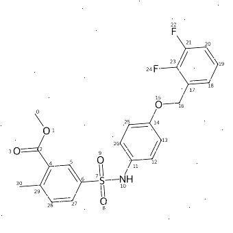 COC(=O)c1cc(S(=O)(=O)Nc2ccc(OCc3cccc(F)c3F)cc2)ccc1C